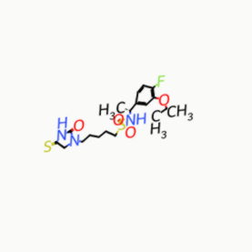 CC(C)Oc1cc([C@@H](C)NS(=O)(=O)CCCCCN2CC(=S)NC2=O)ccc1F